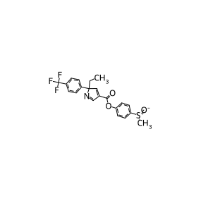 CCC1(c2ccc(C(F)(F)F)cc2)C=C(C(=O)Oc2ccc([S+](C)[O-])cc2)C=N1